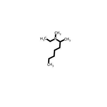 CCCCCC(C)N(C)CC